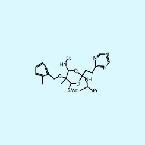 CCNC1OC(CCc2ncncn2)(NC(C)C(C)C)OC(SC)C1(C)OCc1ccccc1C